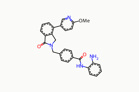 COc1ccc(-c2cccc3c2CN(Cc2ccc(C(=O)Nc4ccccc4N)cc2)C3=O)cn1